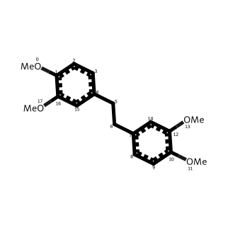 COc1ccc(CCc2ccc(OC)c(OC)c2)cc1OC